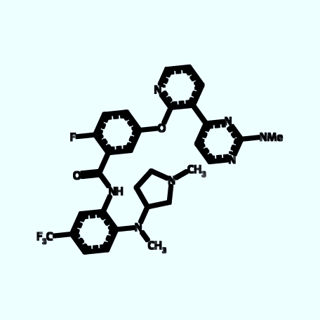 CNc1nccc(-c2cccnc2Oc2ccc(F)c(C(=O)Nc3cc(C(F)(F)F)ccc3N(C)C3CCN(C)C3)c2)n1